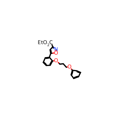 CCOC(=O)c1cc(-c2ccccc2OCCCOc2ccccc2)on1